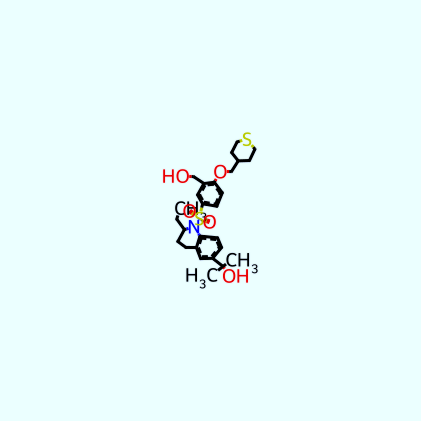 CCC1CCc2cc(C(C)(C)O)ccc2N1S(=O)(=O)c1ccc(OCC2CCSCC2)c(CO)c1